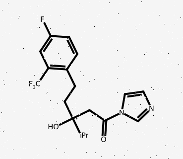 CC(C)C(O)(CCc1ccc(F)cc1C(F)(F)F)CC(=O)n1ccnc1